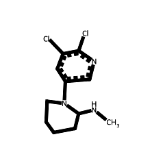 CNC1CCCCN1c1cnc(Cl)c(Cl)c1